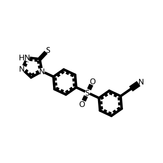 N#Cc1cccc(S(=O)(=O)c2ccc(-n3cn[nH]c3=S)cc2)c1